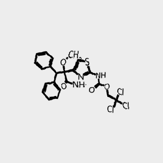 COC(C([NH])=O)(c1csc(NC(=O)OCC(Cl)(Cl)Cl)n1)C(c1ccccc1)c1ccccc1